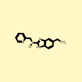 CCc1ccc2[nH]c([S+]([O-])Cc3ccccn3)nc2c1